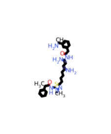 CC(N)c1cccc(CC(=O)N/C(N)=C/C=C(\N)CCCCC2=NN(C)C(NC(=O)C(C)c3ccccc3)S2)c1